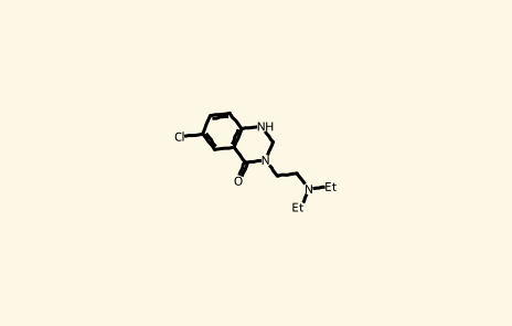 CCN(CC)CCN1CNc2ccc(Cl)cc2C1=O